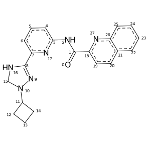 O=C(Nc1cccc(C2=NN(C3CCC3)CN2)n1)c1ccc2ccccc2n1